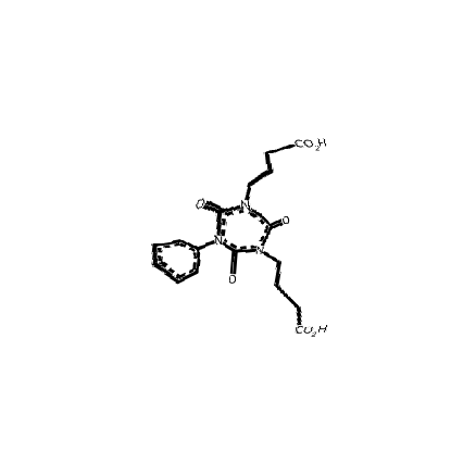 O=C(O)CCCn1c(=O)n(CCCC(=O)O)c(=O)n(-c2ccccc2)c1=O